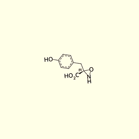 O=C(O)[C@]1(Cc2ccc(O)cc2)NO1